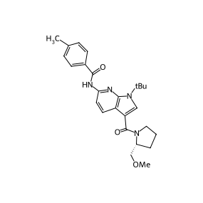 COC[C@H]1CCCN1C(=O)c1cn(C(C)(C)C)c2nc(NC(=O)c3ccc(C)cc3)ccc12